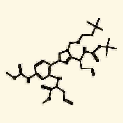 C=CCC(Nc1cc(NC(=O)OC)ccc1-c1cn(COCC[Si](C)(C)C)c(C(CC=C)NC(=O)OC(C)(C)C)n1)C(=O)OC